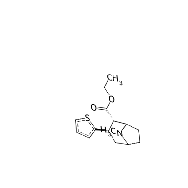 CCOC(=O)[C@@H]1C2CCC(C[C@H]1c1cccs1)N2C